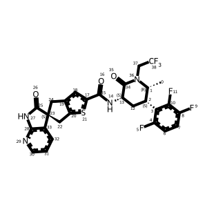 C[C@@H]1[C@H](c2c(F)ccc(F)c2F)C[C@H](NC(=O)c2cc3c(s2)C[C@]2(C3)C(=O)Nc3ncccc32)C(=O)N1CC(F)(F)F